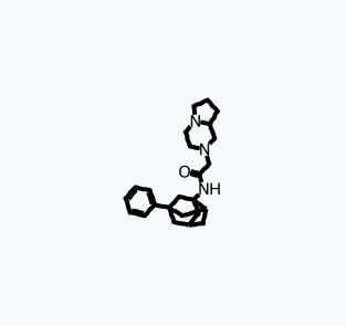 O=C(CN1CCN2CCCC2C1)NC12CC3CC1CC(c1ccccc1)(C3)C2